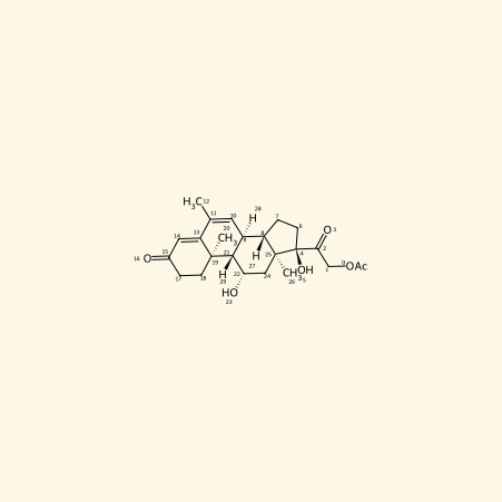 CC(=O)OCC(=O)[C@@]1(O)CC[C@H]2[C@@H]3C=C(C)C4=CC(=O)CC[C@]4(C)[C@H]3[C@@H](O)C[C@@]21C